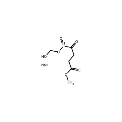 COC(=O)CCC(=O)[PH](=O)OCO.[NaH]